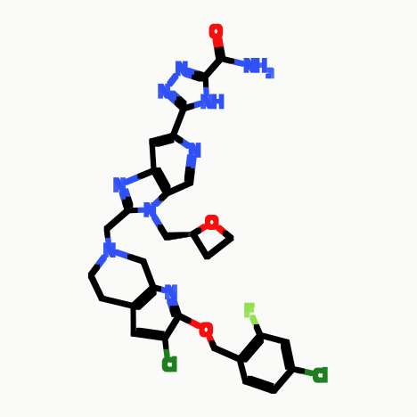 NC(=O)c1nnc(-c2cc3nc(CN4CCc5cc(Cl)c(OCc6ccc(Cl)cc6F)nc5C4)n(C[C@@H]4CCO4)c3cn2)[nH]1